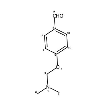 CN(C)COc1ccc([C]=O)cc1